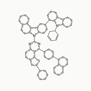 C1=CCC(n2c3ccccc3c3cccc(-c4ccc5c(c4)c4c6ccccc6ccc4n5-c4nc(-c5ccc(-c6cccc7ccccc67)cc5)c5c(ccc6cc(-c7ccccc7)sc65)n4)c32)C=C1